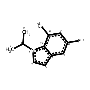 CC(C)n1ccc2cc(F)cc(Cl)c21